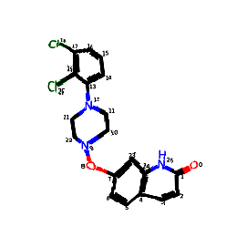 O=c1ccc2ccc(ON3CCN(c4cccc(Cl)c4Cl)CC3)cc2[nH]1